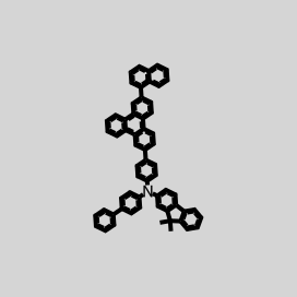 CC1(C)c2ccccc2-c2ccc(N(c3ccc(-c4ccccc4)cc3)c3ccc(-c4ccc5c6ccc(-c7cccc8ccccc78)cc6c6ccccc6c5c4)cc3)cc21